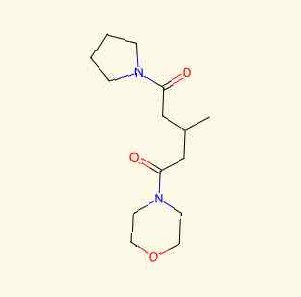 CC(CC(=O)N1CCCC1)CC(=O)N1CCOCC1